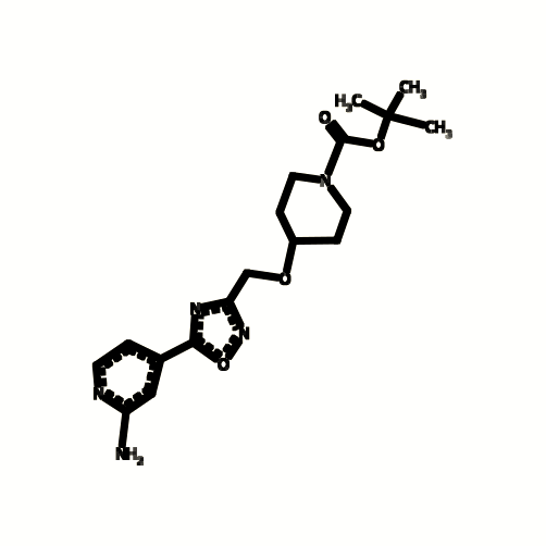 CC(C)(C)OC(=O)N1CCC(OCc2noc(-c3ccnc(N)c3)n2)CC1